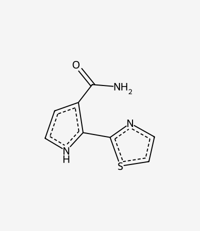 NC(=O)c1cc[nH]c1-c1nccs1